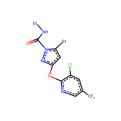 CCNC(=O)n1nc(Oc2ncc(C(F)(F)F)cc2Cl)cc1CC